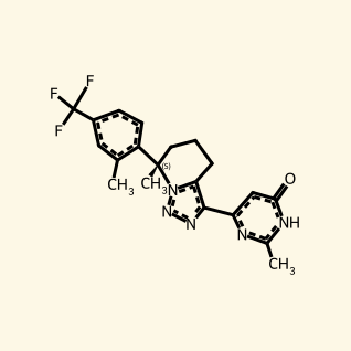 Cc1nc(-c2nnn3c2CCC[C@@]3(C)c2ccc(C(F)(F)F)cc2C)cc(=O)[nH]1